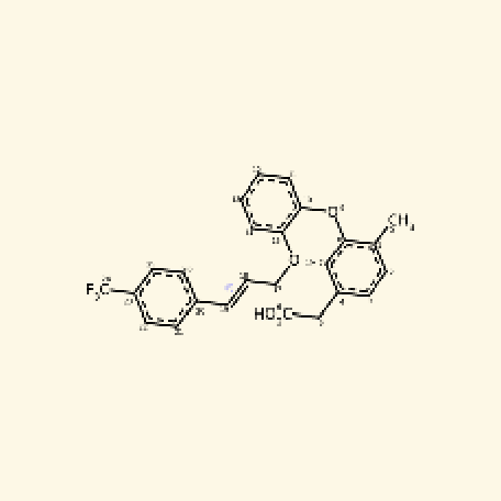 Cc1ccc(CC(=O)O)cc1Oc1ccccc1OC/C=C/c1ccc(C(F)(F)F)cc1